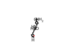 NC(=O)c1ccc(CNC(=O)NCCCCC2CCNCC2)cc1